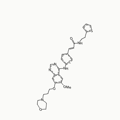 COc1cc2c(Nc3ccc(/C=C/C(=O)NCCc4cccs4)cc3)ncnc2cc1OCCCN1CCOCC1